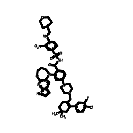 CC1(C)CCC(CN2CCN(c3ccc(C(=O)NS(=O)(=O)c4ccc(NCC5CCOCC5)c([N+](=O)[O-])c4)c(N4CCCOc5nc6[nH]ccc6cc54)c3)CC2)=C(c2ccc(Cl)c(F)c2)C1